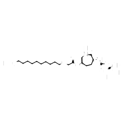 CCCCCCCCCCCOCC(=O)O[C@@H]1CC[C@H](NC(=O)OC(C)(C)C)C(=O)NC1